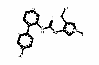 Cn1cc(CF)c(OC(=O)Nc2ccccc2-c2ccc(Cl)cc2)c1